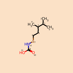 CC(C)C(C)CCSNC(=O)O